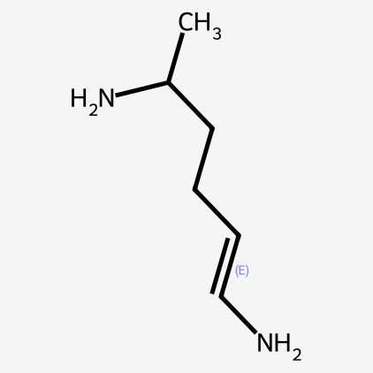 CC(N)CC/C=C/N